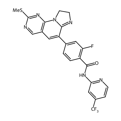 CSc1ncc2c(n1)N1CCN=C1C(c1ccc(C(=O)Nc3cc(C(F)(F)F)ccn3)c(F)c1)=C2